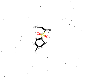 [C-]#[N+]/C(=C/CCC)S(=O)(=O)c1ccc(C)cc1